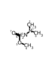 CN(C)N.COC=O